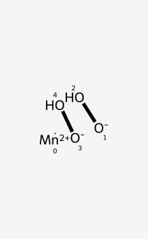 [Mn+2].[O-]O.[O-]O